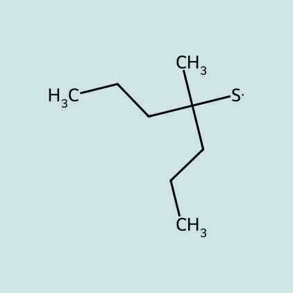 CCCC(C)([S])CCC